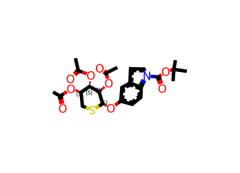 CC(=O)O[C@@H]1[C@@H](OC(C)=O)[C@@H](Oc2ccc3c(ccn3C(=O)OC(C)(C)C)c2)SC[C@H]1OC(C)=O